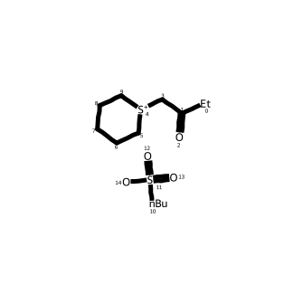 CCC(=O)C[S+]1CCCCC1.CCCCS(=O)(=O)[O-]